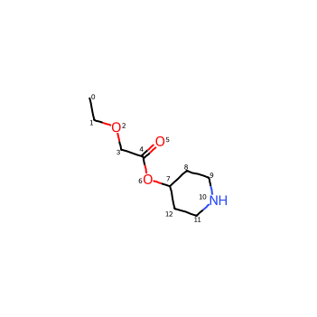 CCOCC(=O)OC1CCNCC1